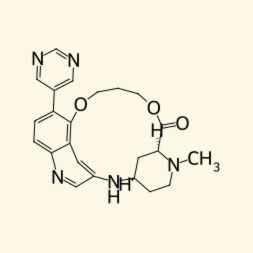 CN1CC[C@H]2C[C@H]1C(=O)OCCCOc1c(-c3cncnc3)ccc3ncc(cc13)N2